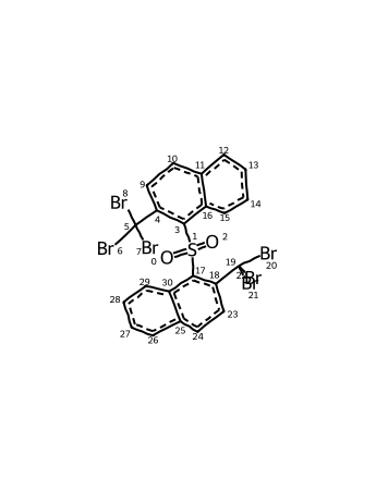 O=S(=O)(c1c(C(Br)(Br)Br)ccc2ccccc12)c1c(C(Br)(Br)Br)ccc2ccccc12